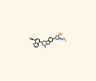 COC1CN(c2ccc3c(c2)CN2C(C)CN(c4ccc(C#N)c5ncccc45)CC32)C[C@@H]1N